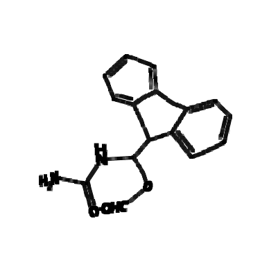 NC(=O)NC(O[C]=O)C1c2ccccc2-c2ccccc21